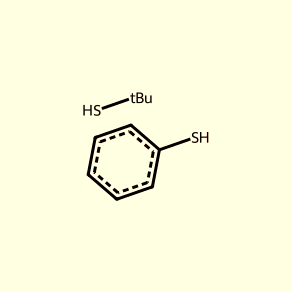 CC(C)(C)S.Sc1ccccc1